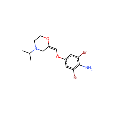 CC(C)N1CCOC(=COc2cc(Br)c(N)c(Br)c2)C1